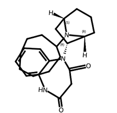 O=C1CC(=O)N([C@@H]2C[C@@H]3CCC[C@H]2N3C2CCCCCCC2)c2ccccc2N1